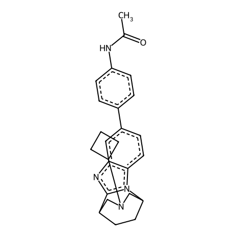 CC(=O)Nc1ccc(-c2ccc3c(c2)nc2n3C3CCC2CN(C2CCC2)C3)cc1